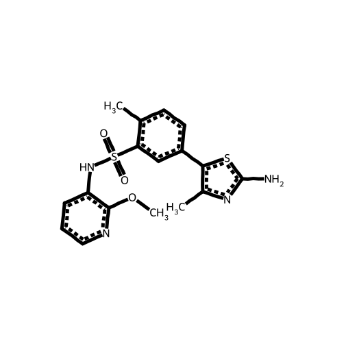 COc1ncccc1NS(=O)(=O)c1cc(-c2sc(N)nc2C)ccc1C